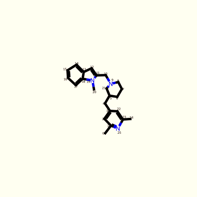 Cc1cc(CC2CCCN(Cc3cc4ccccc4n3C)C2)cc(C)n1